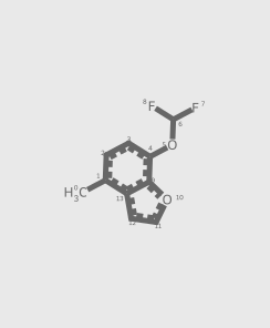 Cc1ccc(OC(F)F)c2occc12